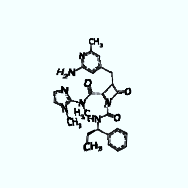 CC[C@@H](NC(=O)N1C(=O)C(Cc2cc(C)nc(N)c2)[C@H]1C(=O)N(C)c1nccn1C)c1ccccc1